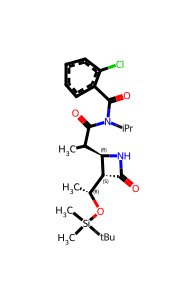 CC(C(=O)N(C(=O)c1ccccc1Cl)C(C)C)[C@H]1NC(=O)[C@@H]1[C@@H](C)O[Si](C)(C)C(C)(C)C